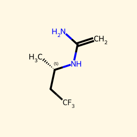 C=C(N)N[C@@H](C)CC(F)(F)F